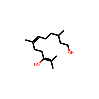 CC(=CCCC(C)CCO)CCC(O)=C(C)C